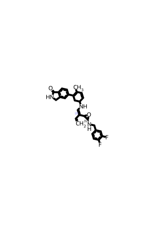 C=C/C(=C/NC1C=CC(C)=C(c2ccc3c(c2)CNC3=O)C1)C1O[C@@H]1NCc1ccc(F)c(F)c1